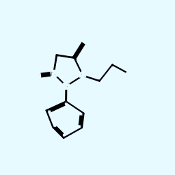 CCCN1C(=O)[CH][N+](=O)N1c1ccccc1